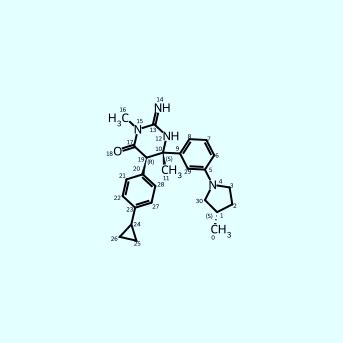 C[C@H]1CCN(c2cccc([C@@]3(C)NC(=N)N(C)C(=O)[C@@H]3c3ccc(C4CC4)cc3)c2)C1